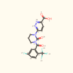 O=C(O)c1ccc(N2CCCN(C(=O)c3cc(F)ccc3C(F)(F)F)C2=O)nn1